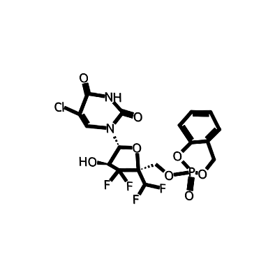 O=c1[nH]c(=O)n([C@@H]2O[C@@](COP3(=O)OCc4ccccc4O3)(C(F)F)C(F)(F)[C@H]2O)cc1Cl